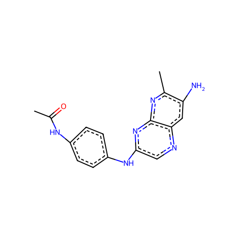 CC(=O)Nc1ccc(Nc2cnc3cc(N)c(C)nc3n2)cc1